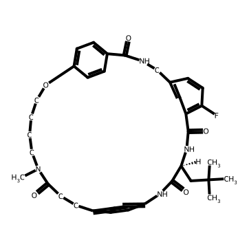 CN1CCCCOc2ccc(cc2)C(=O)NCc2ccc(F)c(c2)C(=O)N[C@@H](CC(C)(C)C)C(=O)Nc2ccc(cc2)CCC1=O